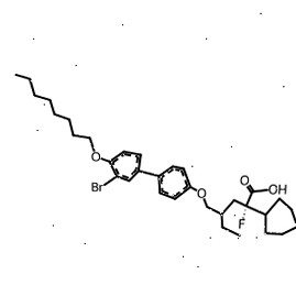 CCCCCCCCOc1ccc(-c2ccc(OCC(CC)C[C@@](F)(C(=O)O)C3CCCCC3)cc2)cc1Br